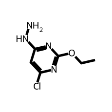 CCOc1nc(Cl)cc(NN)n1